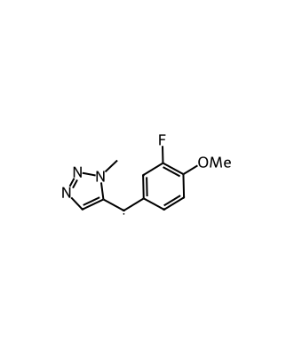 COc1ccc([CH]c2cnnn2C)cc1F